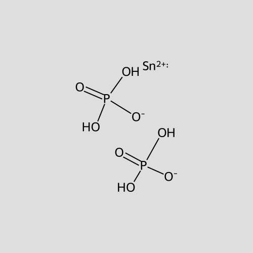 O=P([O-])(O)O.O=P([O-])(O)O.[Sn+2]